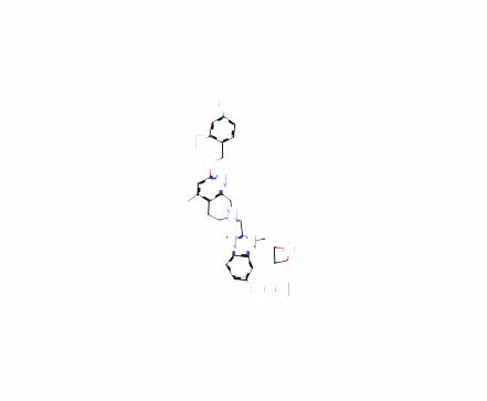 Cc1cc(OCc2ccc(Cl)cc2F)nc2c1CCN(Cc1nc3ccc(C(=O)O)cc3n1C[C@@H]1CCO1)C2